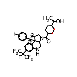 C=C(O)C12CCC(C(=O)N3CCC4(S(=O)(=O)c5ccc(I)cc5)c5ccc(C(F)(C(F)(F)F)C(F)(F)F)cc5NCC34)(CC1)CC2